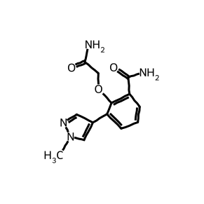 Cn1cc(-c2cccc(C(N)=O)c2OCC(N)=O)cn1